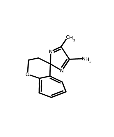 CC1=NC2(CCOc3ccccc32)N=C1N